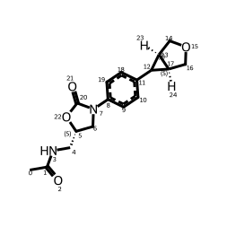 CC(=O)NC[C@H]1CN(c2ccc(C3[C@H]4COC[C@@H]34)cc2)C(=O)O1